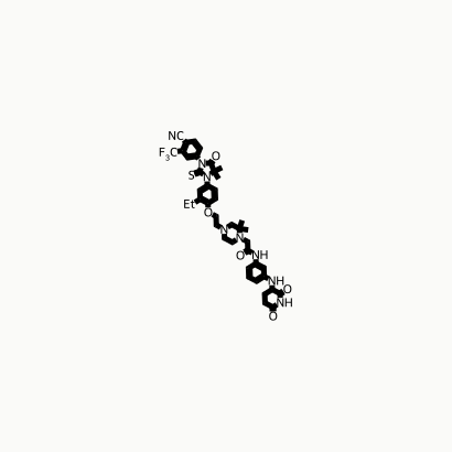 CCc1cc(N2C(=S)N(c3ccc(C#N)c(C(F)(F)F)c3)C(=O)C2(C)C)ccc1OCCN1CCN(CC(=O)Nc2cccc(NC3CCC(=O)NC3=O)c2)C(C)(C)C1